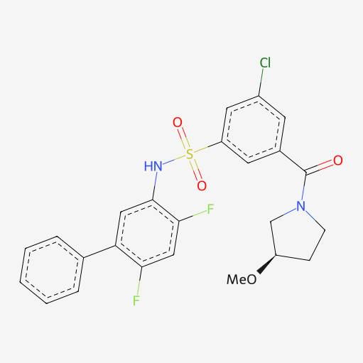 CO[C@@H]1CCN(C(=O)c2cc(Cl)cc(S(=O)(=O)Nc3cc(-c4ccccc4)c(F)cc3F)c2)C1